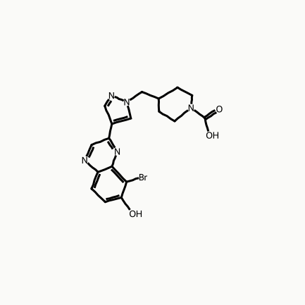 O=C(O)N1CCC(Cn2cc(-c3cnc4ccc(O)c(Br)c4n3)cn2)CC1